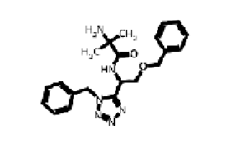 CC(C)(N)C(=O)NC(COCc1ccccc1)c1nnnn1Cc1ccccc1